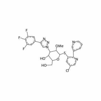 COC1C(Sc2cc(Cl)cnc2-c2cccnc2)OC(CO)C(O)C1n1cc(-c2cc(F)c(F)c(F)c2)nn1